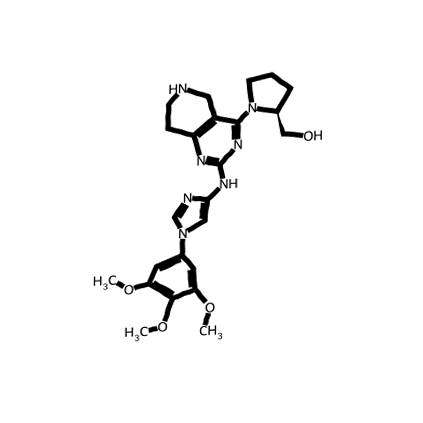 COc1cc(-n2cnc(Nc3nc4c(c(N5CCC[C@H]5CO)n3)CNCC4)c2)cc(OC)c1OC